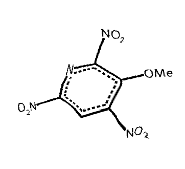 COc1c([N+](=O)[O-])cc([N+](=O)[O-])nc1[N+](=O)[O-]